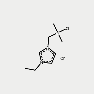 CC[n+]1ccn(C[Si](C)(C)Cl)c1.[Cl-]